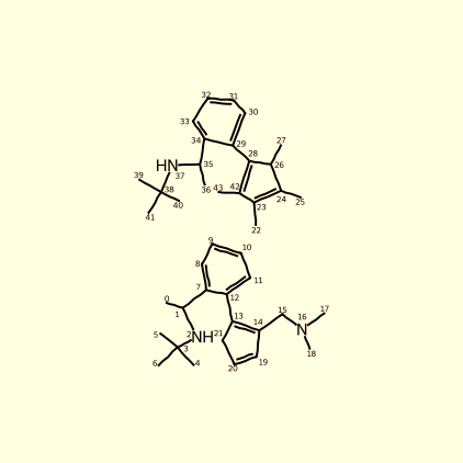 CC(NC(C)(C)C)c1ccccc1C1=C(CN(C)C)C=CC1.CC1=C(C)C(C)C(c2ccccc2C(C)NC(C)(C)C)=C1C